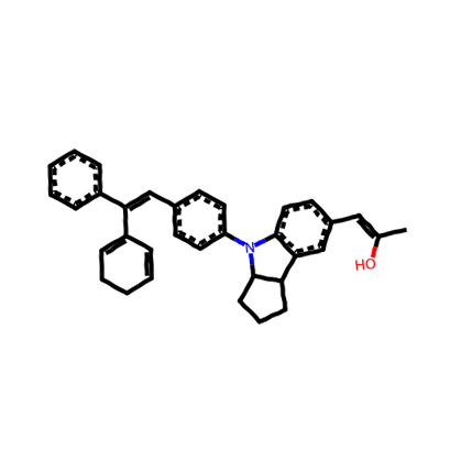 CC(O)=Cc1ccc2c(c1)C1CCCC1N2c1ccc(/C=C(\C2=CCCC=C2)c2ccccc2)cc1